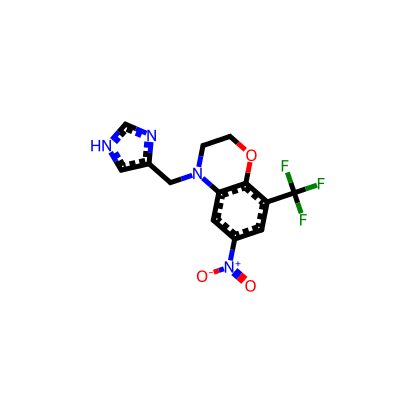 O=[N+]([O-])c1cc2c(c(C(F)(F)F)c1)OCCN2Cc1c[nH]cn1